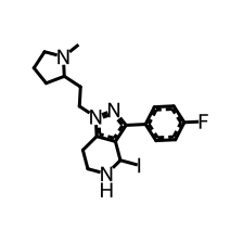 CN1CCCC1CCn1nc(-c2ccc(F)cc2)c2c1CCNC2I